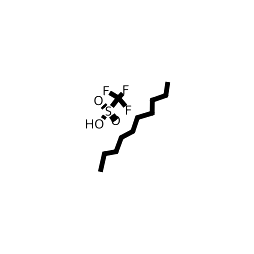 CCCCCCCCCC.O=S(=O)(O)C(F)(F)F